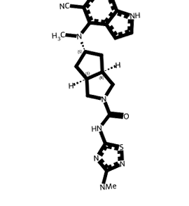 CNc1nsc(NC(=O)N2C[C@H]3C[C@H](N(C)c4c(C#N)cnc5[nH]ccc45)C[C@H]3C2)n1